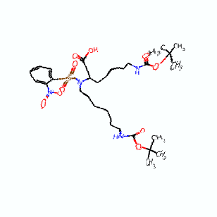 CC(C)(C)OC(=O)NCCCCCCN(C(CCCCNC(=O)OC(C)(C)C)C(=O)O)S(=O)(=O)c1ccccc1[N+](=O)[O-]